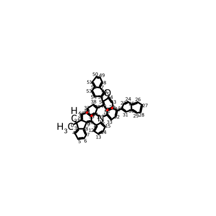 CC1(C)c2ccccc2-c2c(-c3ccccc3N(c3ccc(-c4ccc5ccccc5c4)cc3)c3ccccc3-c3cccc4oc5c6ccccc6ccc5c34)cccc21